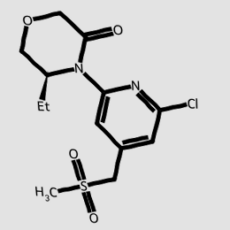 CC[C@H]1COCC(=O)N1c1cc(CS(C)(=O)=O)cc(Cl)n1